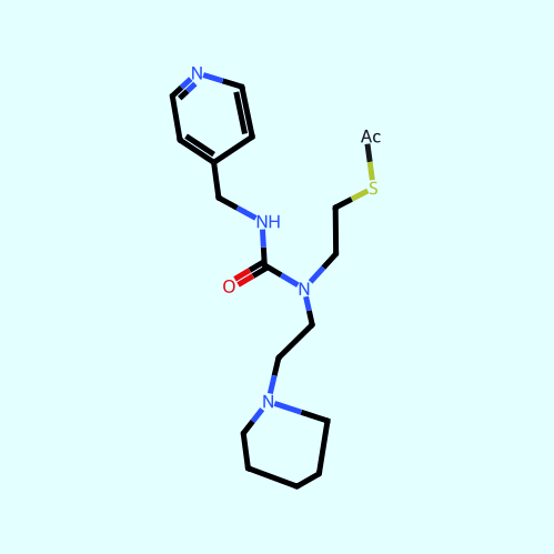 CC(=O)SCCN(CCN1CCCCC1)C(=O)NCc1ccncc1